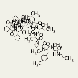 CCCNC(=O)CN(C)C(=O)[C@H](Cc1ccc(C)cc1)N(CC)C(=O)[C@@H]1CCN1C(=O)[C@H](C)N(C)C(=O)[C@@H](NC(=O)[C@H](CC(C)C)N(C)C(=O)C[C@@H](C(=O)N(C)C)N(C)C(=O)[C@H](C1CCCC1)N(C)C(=O)C1(NC(=O)[C@@H]2CCCN2)CCCC1)[C@@H](C)CC